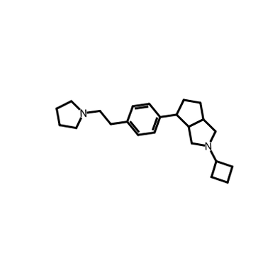 c1cc(C2CCC3CN(C4CCC4)CC32)ccc1CCN1CCCC1